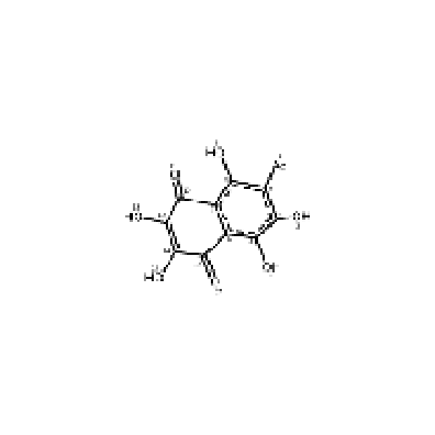 CC(=O)c1c(O)c(O)c2c(c1O)C(=O)C(O)=C(O)C2=O